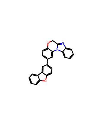 c1ccc2c(c1)nc1n2-c2cc(-c3ccc4oc5ccccc5c4c3)ccc2OC1